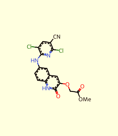 COC(=O)COc1cc2cc(Nc3nc(Cl)c(C#N)cc3Cl)ccc2[nH]c1=O